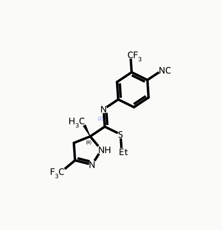 [C-]#[N+]c1ccc(/N=C(\SCC)[C@@]2(C)CC(C(F)(F)F)=NN2)cc1C(F)(F)F